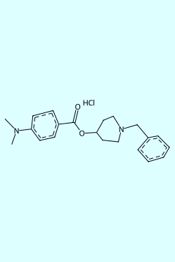 CN(C)c1ccc(C(=O)OC2CCN(Cc3ccccc3)CC2)cc1.Cl